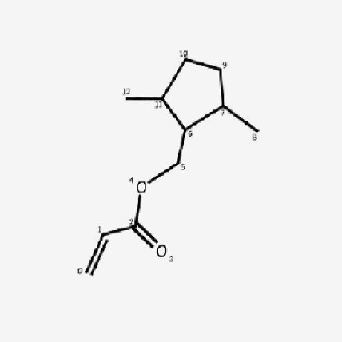 C=CC(=O)OCC1C(C)CCC1C